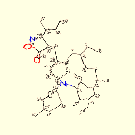 CCCCC(CC)Cc1cc(N(C2CCC(C)CC2)C2CCCC(C)C2)ccc1C=C1C(=O)ON=C1C(C)CC